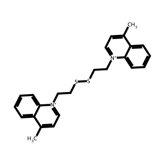 Cc1cc[n+](CCSSCC[n+]2ccc(C)c3ccccc32)c2ccccc12